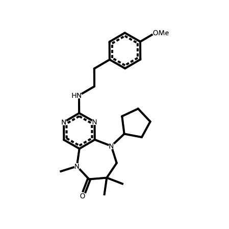 COc1ccc(CCNc2ncc3c(n2)N(C2CCCC2)CC(C)(C)C(=O)N3C)cc1